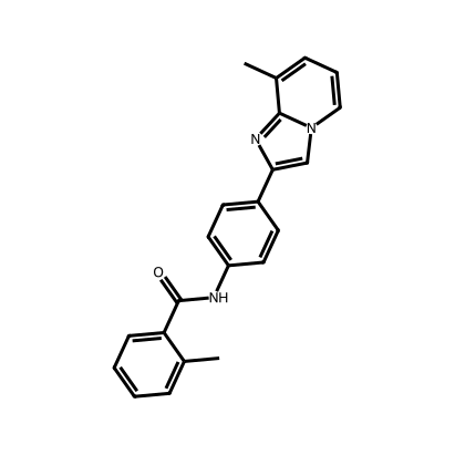 Cc1ccccc1C(=O)Nc1ccc(-c2cn3cccc(C)c3n2)cc1